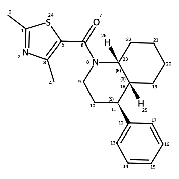 Cc1nc(C)c(C(=O)N2CC[C@H](c3ccccc3)[C@H]3CCCC[C@H]32)s1